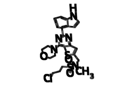 CN(Cc1cc2nc(-c3cccc4[nH]ccc34)nc(N3CCOCC3)c2s1)S(=O)(=O)CCCCl